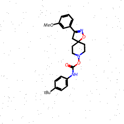 COc1cccc(C2=NOC3(CCN(OC(=O)Nc4ccc(C(C)(C)C)cc4)CC3)C2)c1